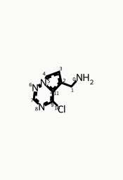 NCc1ccn2ncnc(Cl)c12